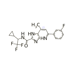 C/C(=C/C(=N)c1cccc(F)c1)c1cnc(C(=O)NC(C2CC2)C(F)(F)F)[nH]1